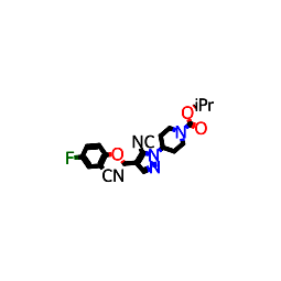 CC(C)OC(=O)N1CCC(n2ncc(COc3ccc(F)cc3C#N)c2C#N)CC1